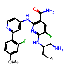 COc1ccc(-c2cc(Nc3nc(N[C@@H](CN)CC(C)C)c(F)cc3C(N)=O)ccn2)c(F)c1